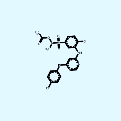 CN(OC(=O)C(F)(F)F)S(=O)(=O)c1ccc(Cl)c(Nc2cc(Nc3ccc(Cl)cc3)ncn2)c1